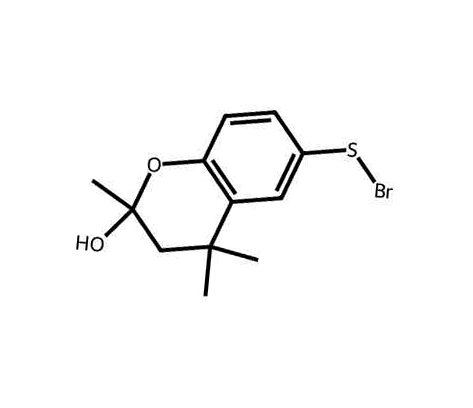 CC1(O)CC(C)(C)c2cc(SBr)ccc2O1